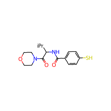 CC(C)C(NC(=O)c1ccc(S)cc1)C(=O)N1CCOCC1